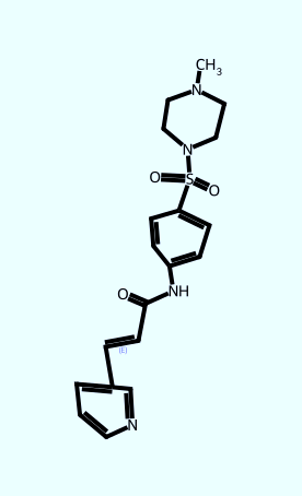 CN1CCN(S(=O)(=O)c2ccc(NC(=O)/C=C/c3cccnc3)cc2)CC1